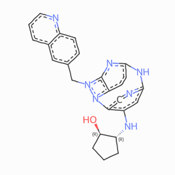 O[C@@H]1CCC[C@H]1Nc1cc2ncc1-n1c3ccc(nc3n1Cc1ccc3ncccc3c1)N2